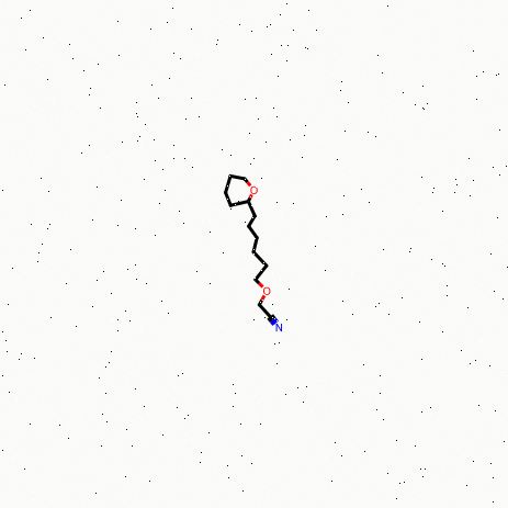 N#CCOCCCCCCC1CCCCO1